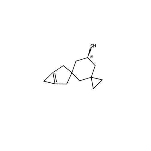 S[C@H]1CC2(CC2)CC2(CC3=C(C3)C2)C1